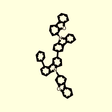 c1ccc(-c2cccc3c2c2cc(-c4ccc5c(c4)c4ccccc4n5-c4cccc5c4oc4ccccc45)ccc2n3-c2ccc3c(c2)oc2ccccc23)cc1